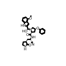 COc1cccc2[nH]c(C(O)N3C[C@H](Oc4ccccc4)C[C@H]3C(=O)N[C@H](C#N)C[C@@H]3CCNC3=O)cc12